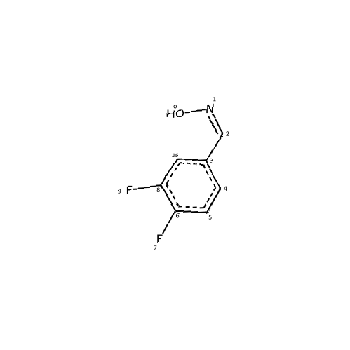 O/N=[C]\c1ccc(F)c(F)c1